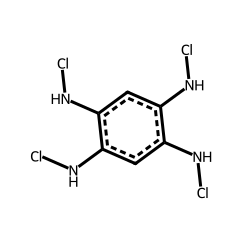 ClNc1cc(NCl)c(NCl)cc1NCl